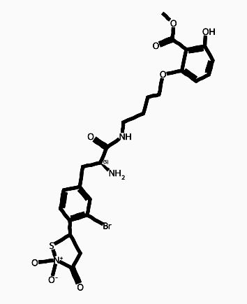 COC(=O)c1c(O)cccc1OCCCCNC(=O)[C@@H](N)Cc1ccc(C2CC(=O)[N+]([O-])([O-])S2)c(Br)c1